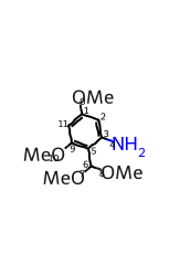 COc1cc(N)c(C(OC)OC)c(OC)c1